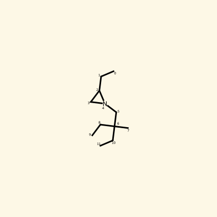 CCC1CN1CC(C)(CC)CC